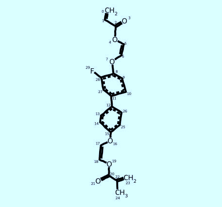 C=CC(=O)O/C=C\Oc1ccc(-c2ccc(O/C=C\OC(=O)C(=C)C)cc2)cc1F